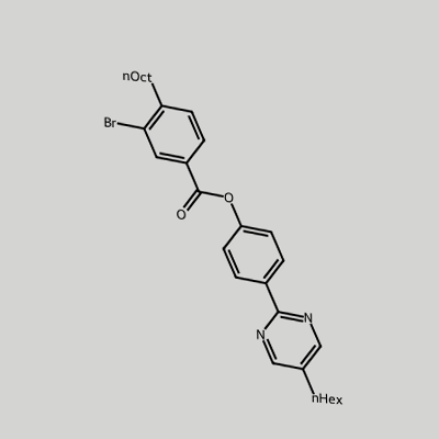 CCCCCCCCc1ccc(C(=O)Oc2ccc(-c3ncc(CCCCCC)cn3)cc2)cc1Br